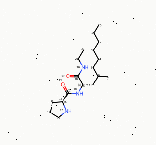 CCCCCCC(C)C[C@H](NC(=O)[C@@H]1CCCN1)C(=O)NCC